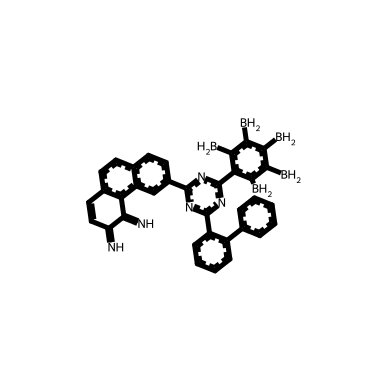 Bc1c(B)c(B)c(-c2nc(-c3ccc4ccc5c(c4c3)C(=N)C(=N)C=C5)nc(-c3ccccc3-c3ccccc3)n2)c(B)c1B